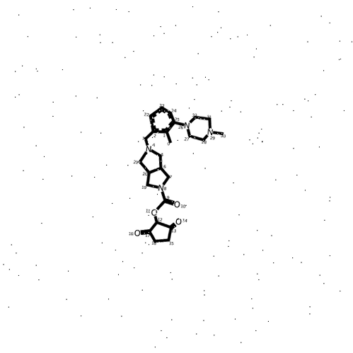 Cc1c(CN2CC3CN(C(=O)OC4C(=O)CCC4=O)CC3C2)cccc1N1CCN(C)CC1